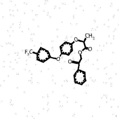 CC(Oc1ccc(Oc2ccc(C(F)(F)F)cc2)cc1)C(=O)OCC(=O)c1ccccc1